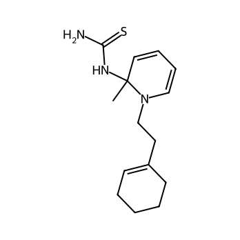 CC1(NC(N)=S)C=CC=CN1CCC1=CCCCC1